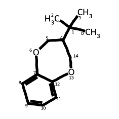 CC(C)(C)C1COc2ccccc2OC1